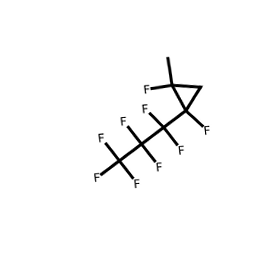 CC1(F)CC1(F)C(F)(F)C(F)(F)C(F)(F)F